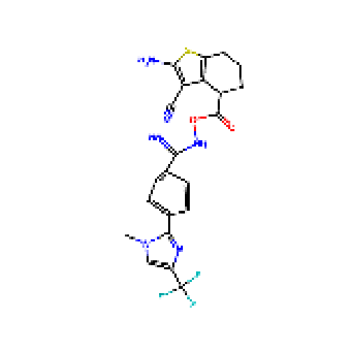 Cn1cc(C(F)(F)F)nc1-c1ccc(C(=N)NOC(=O)C2CCCc3sc(N)c(C#N)c32)cc1